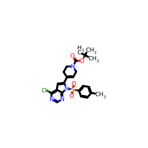 Cc1ccc(S(=O)(=O)n2c(C3=CCN(C(=O)OC(C)(C)C)CC3)cc3c(Cl)ncnc32)cc1